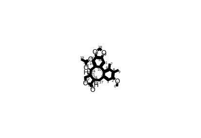 COc1cc2c(c(C)c1C)-c1cc3c(cc1[C@H](OC(C)=O)[C@H]1COC(=O)[C@@H]1C2)OCO3